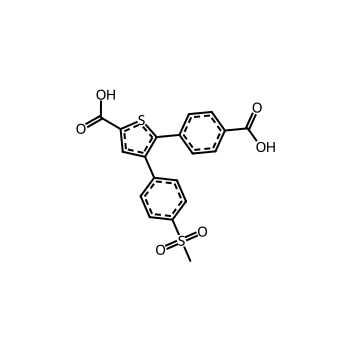 CS(=O)(=O)c1ccc(-c2cc(C(=O)O)sc2-c2ccc(C(=O)O)cc2)cc1